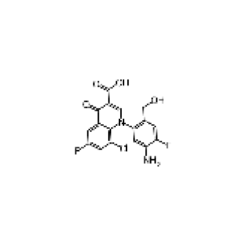 Nc1cc(-n2cc(C(=O)O)c(=O)c3cc(F)cc(Cl)c32)c(CO)cc1F